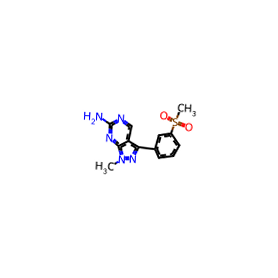 Cn1nc(-c2cccc(S(C)(=O)=O)c2)c2cnc(N)nc21